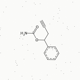 C#CCC(OC(N)=O)c1ccccc1